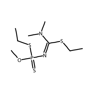 CCSC(=NP(=S)(OC)SCC)N(C)C